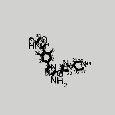 Cc1cc(-c2cnc(N)c(Oc3cnn(C4CCN(C)CC4)c3)n2)cc(C)c1C1COCC(=O)N1